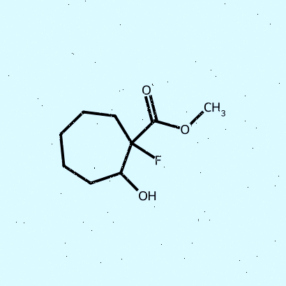 COC(=O)C1(F)CCCCCC1O